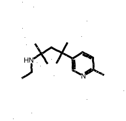 CCNC(C)(C)CC(C)(C)c1ccc(C)nc1